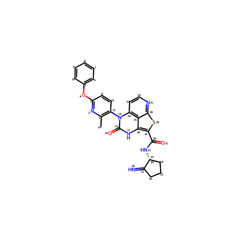 Cc1nc(Oc2ccccc2)ccc1N1C(=O)Nc2c(C(=O)N[C@@H]3CCCC3=N)sc3nccc1c23